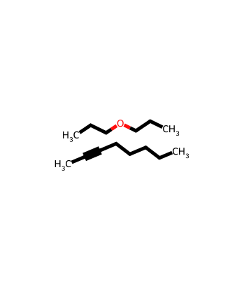 CC#CCCCCC.CCCOCCC